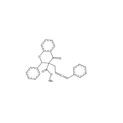 CC(C)(C)OC(=O)C1(CC=C=Cc2ccccc2)C(=O)c2ccccc2OC1c1ccccc1